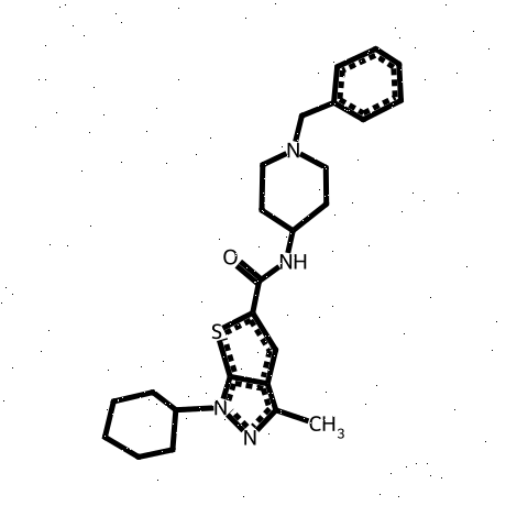 Cc1nn(C2CCCCC2)c2sc(C(=O)NC3CCN(Cc4ccccc4)CC3)cc12